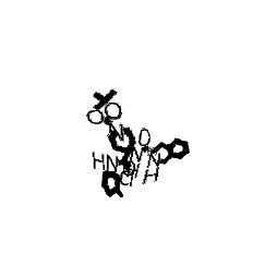 Cc1cccc(NC(=O)C2(NC(=O)[C@@H]3Cc4ccccc4CN3)CCN(C(=O)OC(C)(C)C)CC2)c1Cl